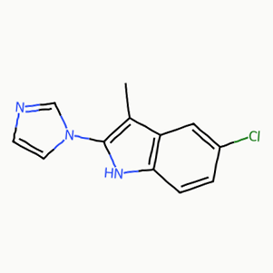 Cc1c(-n2ccnc2)[nH]c2ccc(Cl)cc12